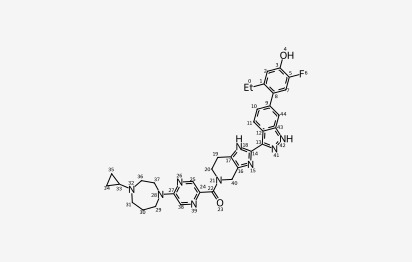 CCc1cc(O)c(F)cc1-c1ccc2c(-c3nc4c([nH]3)CCN(C(=O)c3cnc(N5CCCN(C6CC6)CC5)cn3)C4)n[nH]c2c1